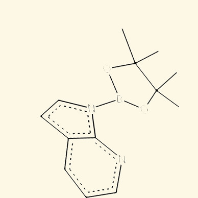 CC1(C)OB(n2ccc3cccnc32)OC1(C)C